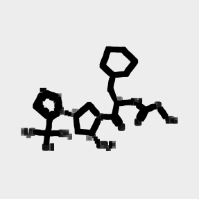 CC(C)(C)OC(=O)N[C@H](CC1CCCCC1)C(=O)N1C[C@@H](n2nncc2C(C)(C)O)C[C@H]1C(=O)O